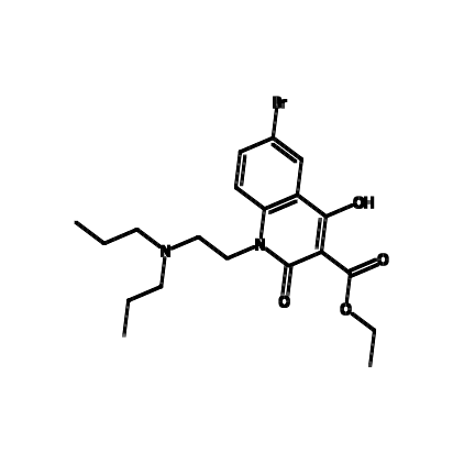 CCCN(CCC)CCn1c(=O)c(C(=O)OCC)c(O)c2cc(Br)ccc21